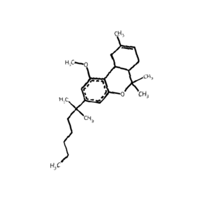 CCCCCC(C)(C)c1cc(OC)c2c(c1)OC(C)(C)C1CC=C(C)CC21